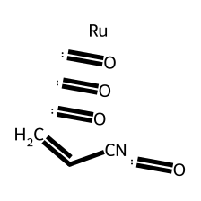 C=CC#N.[C]=O.[C]=O.[C]=O.[C]=O.[Ru]